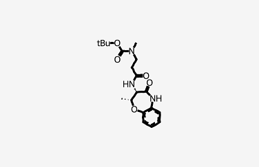 C[C@H]1Oc2ccccc2NC(=O)[C@H]1NC(=O)CCN(C)C(=O)OC(C)(C)C